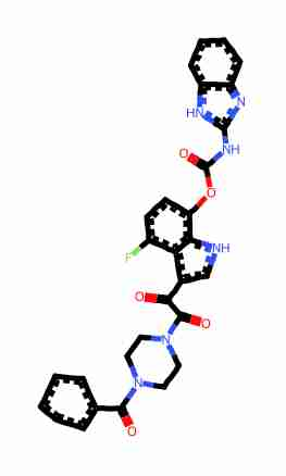 O=C(Nc1nc2ccccc2[nH]1)Oc1ccc(F)c2c(C(=O)C(=O)N3CCN(C(=O)c4ccccc4)CC3)c[nH]c12